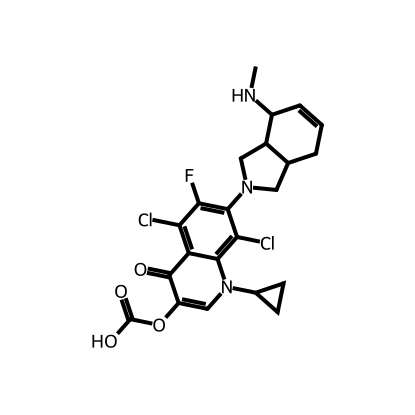 CNC1C=CCC2CN(c3c(F)c(Cl)c4c(=O)c(OC(=O)O)cn(C5CC5)c4c3Cl)CC21